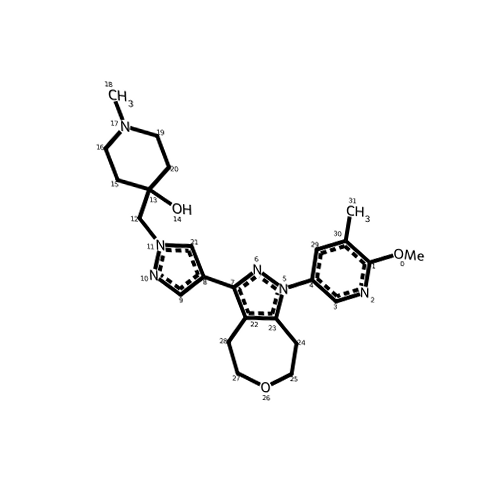 COc1ncc(-n2nc(-c3cnn(CC4(O)CCN(C)CC4)c3)c3c2CCOCC3)cc1C